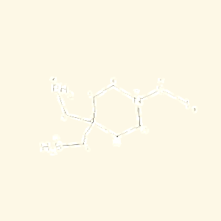 BCC1(CB)CCN(SI)CC1